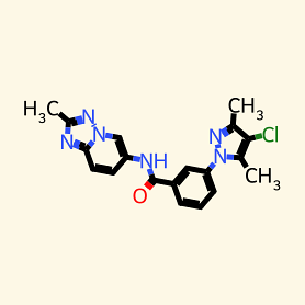 Cc1nc2ccc(NC(=O)c3cccc(-n4nc(C)c(Cl)c4C)c3)cn2n1